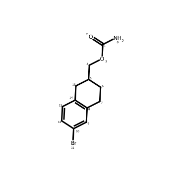 NC(=O)OCC1CCc2cc(Br)ccc2C1